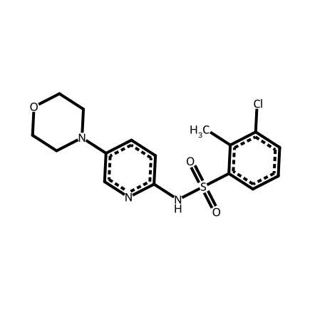 Cc1c(Cl)cccc1S(=O)(=O)Nc1ccc(N2CCOCC2)cn1